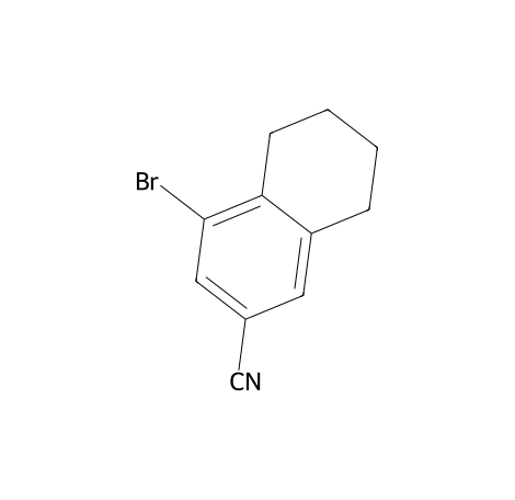 N#Cc1cc(Br)c2c(c1)CCCC2